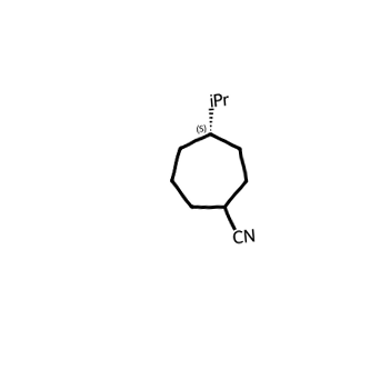 CC(C)[C@H]1CCCC(C#N)CC1